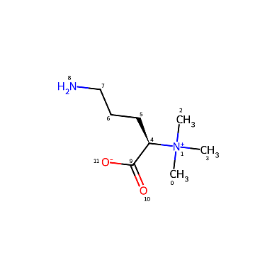 C[N+](C)(C)[C@H](CCCN)C(=O)[O-]